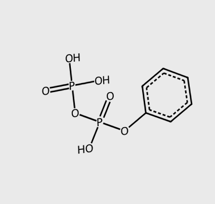 O=P(O)(O)OP(=O)(O)Oc1ccccc1